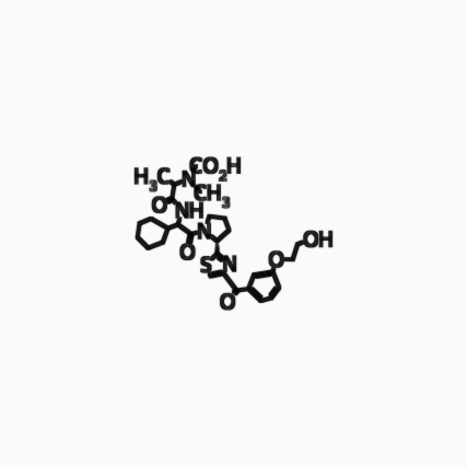 CC(C(=O)NC(C(=O)N1CCC[C@H]1c1nc(C(=O)c2cccc(OCCO)c2)cs1)C1CCCCC1)N(C)C(=O)O